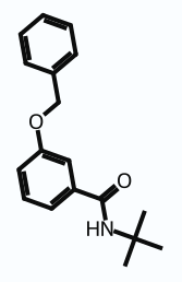 CC(C)(C)NC(=O)c1cccc(OCc2ccccc2)c1